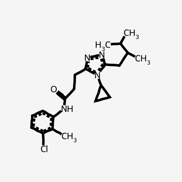 Cc1c(Cl)cccc1NC(=O)CCc1nnc(CC(C)C(C)C)n1C1CC1